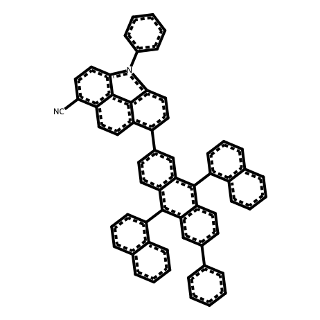 N#Cc1ccc2c3c1ccc1c(-c4ccc5c(-c6cccc7ccccc67)c6cc(-c7ccccc7)ccc6c(-c6cccc7ccccc67)c5c4)ccc(c13)n2-c1ccccc1